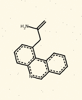 C=C(N)Cc1cccc2ncc3ccccc3c12